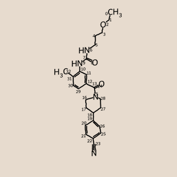 CCOCCCNC(=O)Nc1cc(C(=O)N2CCC(c3ccc(C#N)cc3)CC2)ccc1C